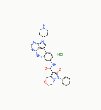 Cl.Nc1ncnc2c1c(-c1ccc(NC(=O)c3c4n(n(-c5ccccc5)c3=O)CCOC4)cc1)cn2C1CCNCC1